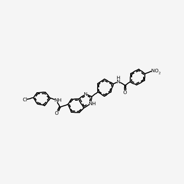 O=C(Nc1ccc(-c2nc3cc(C(=O)Nc4ccc(Cl)cc4)ccc3[nH]2)cc1)c1ccc([N+](=O)[O-])cc1